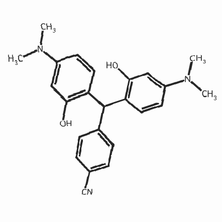 CN(C)c1ccc(C(c2ccc(C#N)cc2)c2ccc(N(C)C)cc2O)c(O)c1